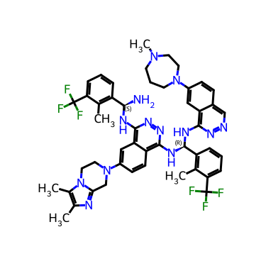 Cc1nc2n(c1C)CCN(c1ccc3c(N[C@@H](Nc4nncc5ccc(N6CCCN(C)CC6)cc45)c4cccc(C(F)(F)F)c4C)nnc(N[C@H](N)c4cccc(C(F)(F)F)c4C)c3c1)C2